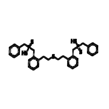 S=P(S)(Cc1ccccc1)Cc1ccccc1CCSCCc1ccccc1CP(=S)(S)Cc1ccccc1